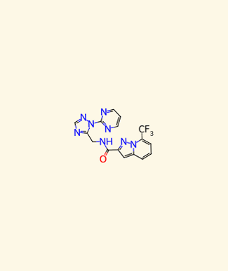 O=C(NCc1ncnn1-c1ncccn1)c1cc2cccc(C(F)(F)F)n2n1